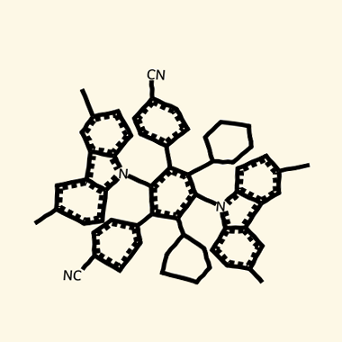 Cc1ccc2c(c1)c1cc(C)ccc1n2-c1c(-c2ccc(C#N)cc2)c(C2CCCCC2)c(-n2c3ccc(C)cc3c3cc(C)ccc32)c(C2CCCCC2)c1-c1ccc(C#N)cc1